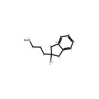 CCC1(CCCNC)Cc2ccccc2C1